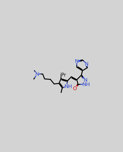 Cc1[nH]c(C=C2C(=O)NN=C2c2cncnc2)c(C(C)C)c1CCCCN(C)C